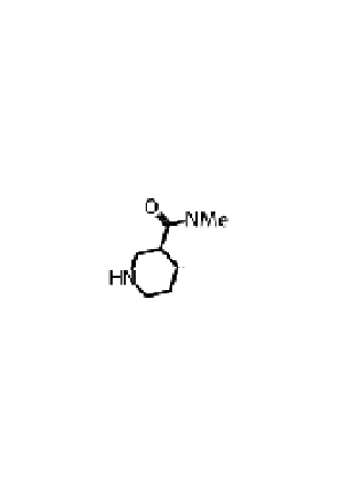 CNC(=O)C1[CH]CCNC1